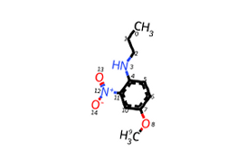 CCCNc1ccc(OC)cc1[N+](=O)[O-]